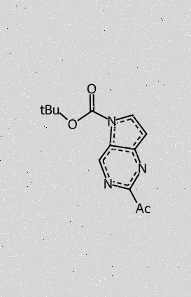 CC(=O)c1ncc2c(ccn2C(=O)OC(C)(C)C)n1